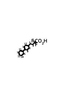 O=C(O)C(F)(F)CCc1ccc(-c2ccccc2)cc1